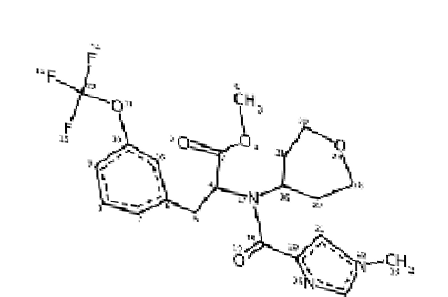 COC(=O)C(Cc1cccc(OC(F)(F)F)c1)N(C(=O)c1cn(C)cn1)C1CCOCC1